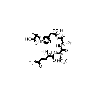 CC(C)[C@H](NC(=O)[C@H](CC(=O)O)NC(=O)[C@@H](N)CCC(N)=O)C(=O)N[C@@H](Cc1c[nH]cn1)C(=O)O.O=C(O)C(F)(F)F